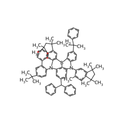 Cc1cc2c(cc1N1c3ccc(C(C)(C)c4ccccc4)cc3B3c4cc5c(cc4N(c4ccc(C(C)(C)C)cc4-c4ccccc4)c4cc(C(c6ccccc6)c6ccccc6)cc1c43)C(C)(C)CC5(C)C)C(C)(C)CC2(C)C